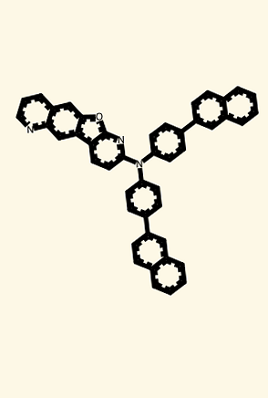 c1ccc2cc(-c3ccc(N(c4ccc(-c5ccc6ccccc6c5)cc4)c4ccc5c(n4)oc4cc6cccnc6cc45)cc3)ccc2c1